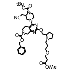 COC(=O)CCOCCCN1CCCC1COc1nc2c(c(N3CCN(C(=O)OC(C)(C)C)C(CC#N)C3)n1)CCN(C(=O)OCc1ccccc1)C2